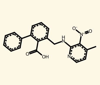 Cc1ccnc(NCc2cccc(-c3ccccc3)c2C(=O)O)c1[N+](=O)[O-]